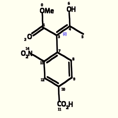 COC(=O)/C(=C(/C)O)c1ccc(C(=O)O)cc1[N+](=O)[O-]